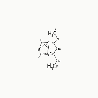 C1=CC2CCC1C2.CCCCCCC